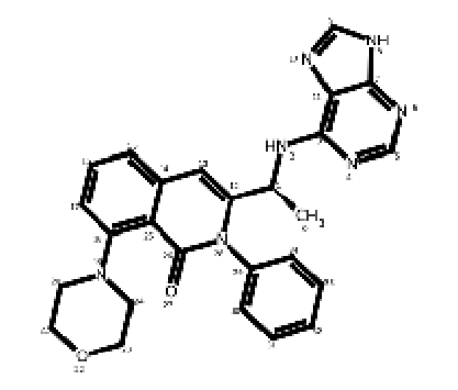 C[C@H](Nc1ncnc2[nH]cnc12)c1cc2cccc(N3CCOCC3)c2c(=O)n1-c1ccccc1